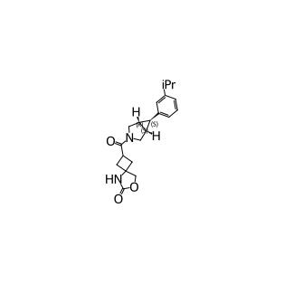 CC(C)c1cccc([C@H]2[C@@H]3CN(C(=O)C4CC5(COC(=O)N5)C4)C[C@@H]32)c1